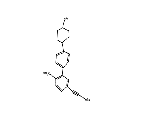 CCCCC#Cc1ccc(C(=O)O)c(-c2ccc(C3CCC(CCC)CC3)cc2)c1